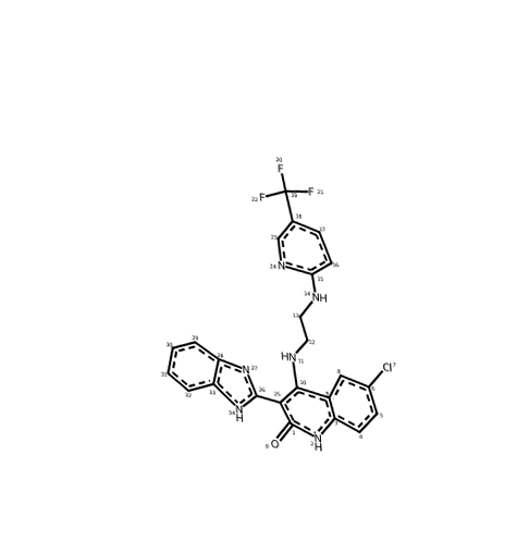 O=c1[nH]c2ccc(Cl)cc2c(NCCNc2ccc(C(F)(F)F)cn2)c1-c1nc2ccccc2[nH]1